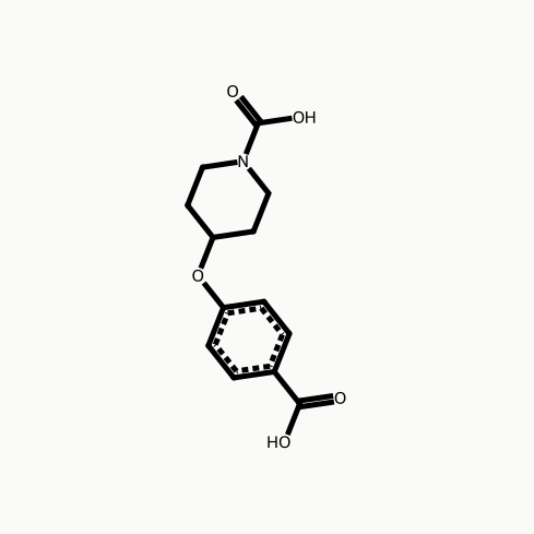 O=C(O)c1ccc(OC2CCN(C(=O)O)CC2)cc1